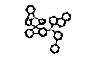 c1ccc(-c2cccc(N(c3ccc4c(c3)C3(c5ccccc5-4)c4ccccc4-n4c5ccccc5c5cccc3c54)c3cccc4c3ccc3ccccc34)c2)cc1